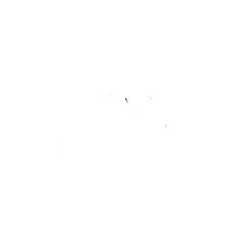 CC(C)(C)C[C@](N)(C(=O)O)c1ccc(C(F)(F)F)cc1